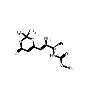 CCC[C@@H](NC(=O)OC(C)(C)C)/C(N)=C/C1=CC(=O)OC(C)(C)O1